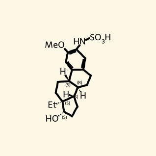 CC[C@]12CC[C@@H]3c4cc(OC)c(NS(=O)(=O)O)cc4CC[C@H]3[C@@H]1CC[C@@H]2O